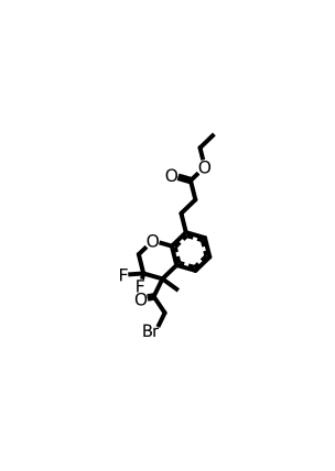 CCOC(=O)CCc1cccc2c1OCC(F)(F)C2(C)C(=O)CBr